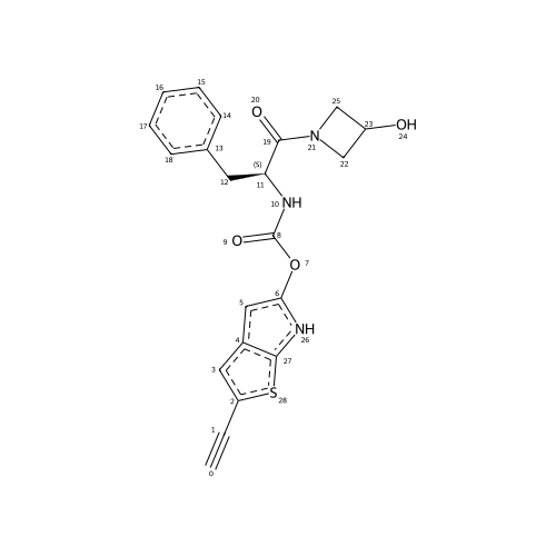 C#Cc1cc2cc(OC(=O)N[C@@H](Cc3ccccc3)C(=O)N3CC(O)C3)[nH]c2s1